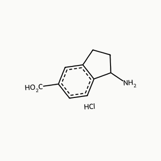 Cl.NC1CCc2cc(C(=O)O)ccc21